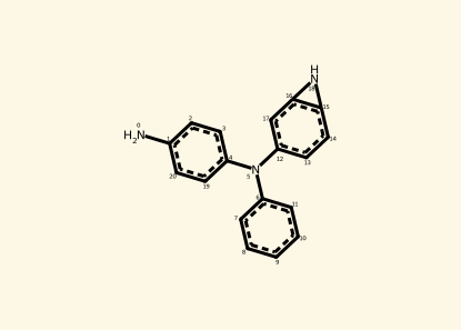 Nc1ccc(N(c2ccccc2)c2ccc3c(c2)N3)cc1